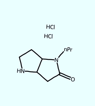 CCCN1C(=O)CC2NCCC21.Cl.Cl